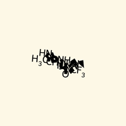 CC1(C)CNCc2cc(Nc3ncc4c(=O)n(CC(F)(F)F)n(-c5ccn(C6CC6)n5)c4n3)ccc21